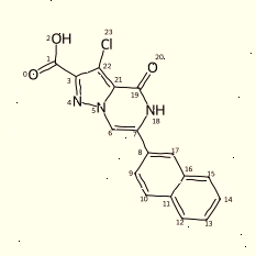 O=C(O)c1nn2cc(-c3ccc4ccccc4c3)[nH]c(=O)c2c1Cl